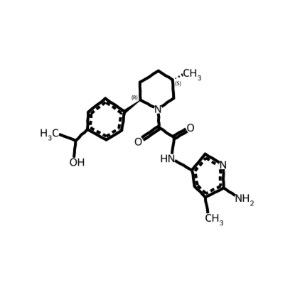 Cc1cc(NC(=O)C(=O)N2C[C@@H](C)CC[C@@H]2c2ccc(C(C)O)cc2)cnc1N